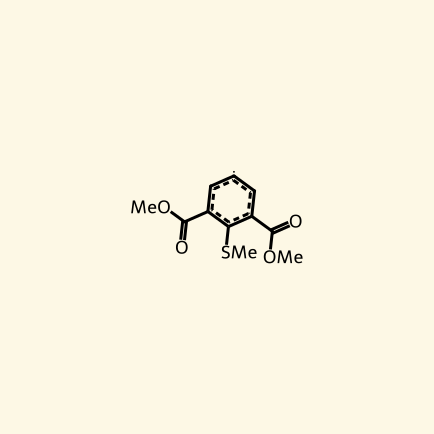 COC(=O)c1c[c]cc(C(=O)OC)c1SC